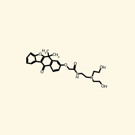 CC1(C)c2cc(OCC(=O)NCCN(CCO)CCO)ccc2C(=O)c2c1oc1ccccc21